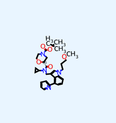 COCCCn1cc(CN(C(=O)[C@H]2CN(C(=O)OC(C)(C)C)CCO2)C2CC2)c2c(-c3ccccn3)cccc21